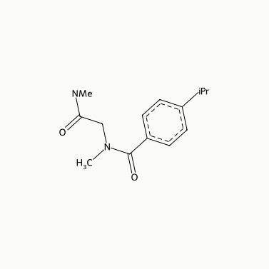 CNC(=O)CN(C)C(=O)c1ccc(C(C)C)cc1